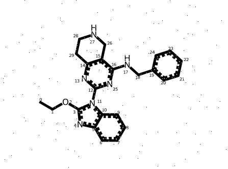 CCOc1nc2ccccc2n1-c1nc2c(c(NCc3ccccc3)n1)CNCC2